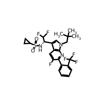 CC(C)(C)Cn1cc([C@H](NS(=O)(=O)C2CC2)C(F)F)c2cc(F)c(-c3ccccc3C(F)(F)F)nc21